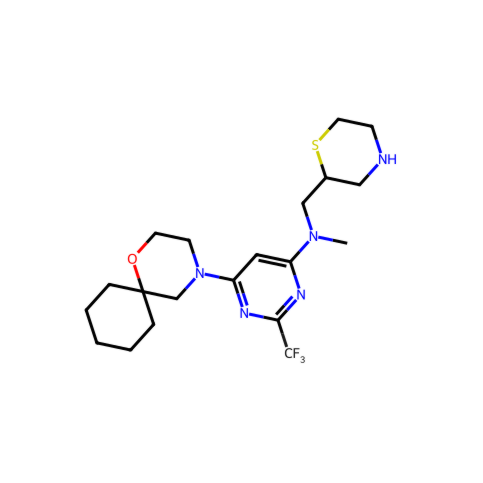 CN(CC1CNCCS1)c1cc(N2CCOC3(CCCCC3)C2)nc(C(F)(F)F)n1